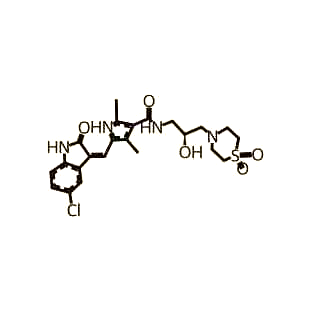 Cc1[nH]c(/C=C2\C(=O)Nc3ccc(Cl)cc32)c(C)c1C(=O)NC[C@H](O)CN1CCS(=O)(=O)CC1